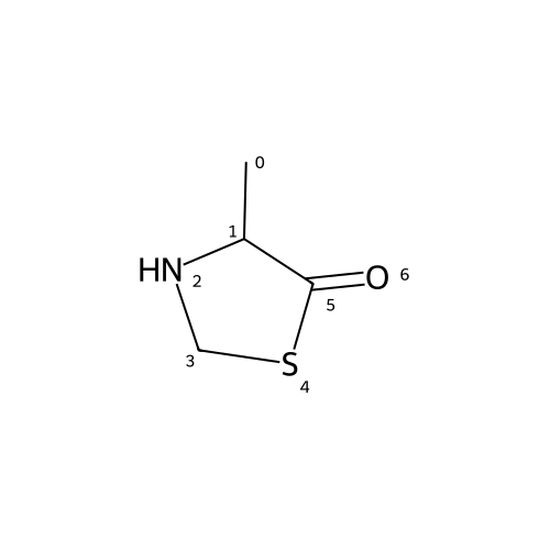 CC1NCSC1=O